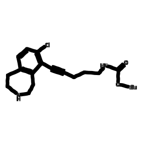 CC(C)(C)OC(=O)NCCCC#Cc1c(Cl)ccc2c1CCNCC2